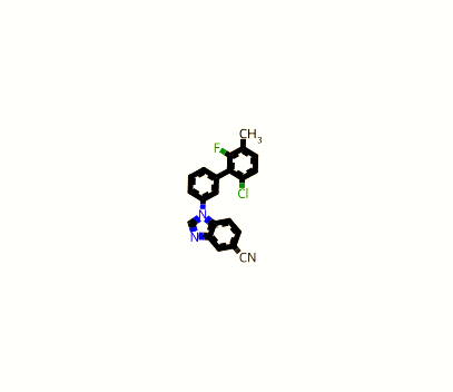 Cc1ccc(Cl)c(-c2cccc(-n3cnc4cc(C#N)ccc43)c2)c1F